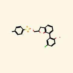 COc1ccc(Cl)cc1-c1cccc2c1OC(COS(=O)(=O)c1ccc(C)cc1)C2